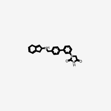 O=C1CN(c2cccc(-c3ccc(CNC4C=C5CC=CC=C5C4)cc3)c2)C(=O)N1